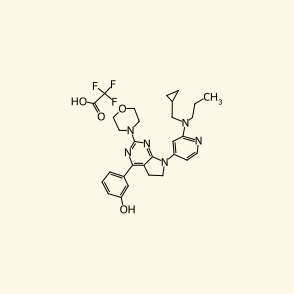 CCCN(CC1CC1)c1cc(N2CCc3c(-c4cccc(O)c4)nc(N4CCOCC4)nc32)ccn1.O=C(O)C(F)(F)F